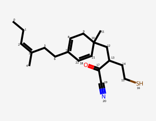 CC/C=C(/C)CCC1=CCC(C)(CC(CCS)C(=O)C#N)C=C1